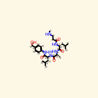 CNCCC(=O)N[C@@H](CC(C)C)C(=O)N[C@@H](C)C(=O)N[C@@H](CC(C)C)C(=O)Nc1ccc(CO)cc1